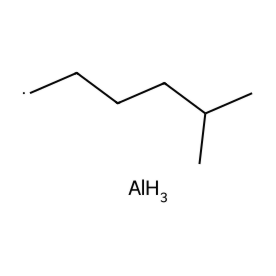 [AlH3].[CH2]CCCC(C)C